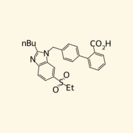 CCCCc1nc2ccc(S(=O)(=O)CC)cc2n1Cc1ccc(-c2ccccc2C(=O)O)cc1